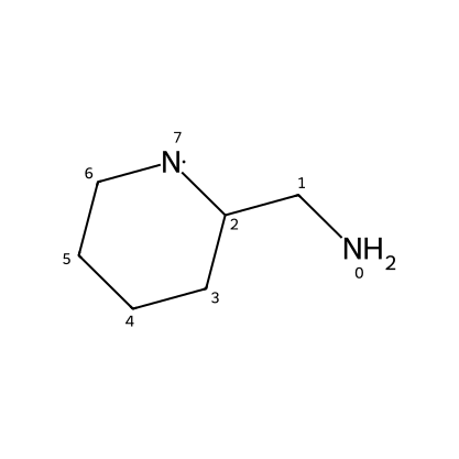 NCC1CCCC[N]1